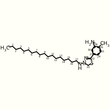 CCCCCCCCCCCCCCCCCCNN1CSC(c2ccc(C)c(N)c2)=N1